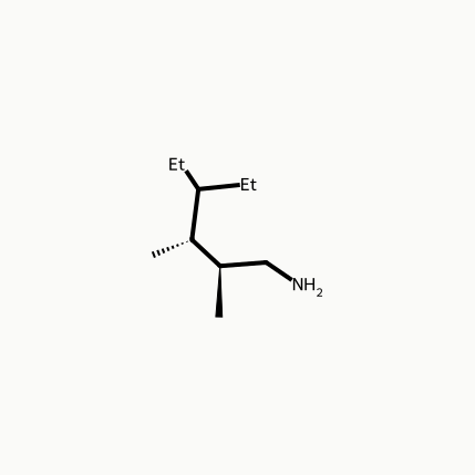 CCC(CC)[C@@H](C)[C@H](C)CN